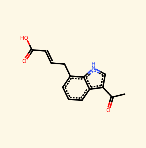 CC(=O)c1c[nH]c2c(CC=CC(=O)O)cccc12